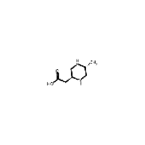 C[C@@H]1CN[C@@H](CC(=O)O)CN1